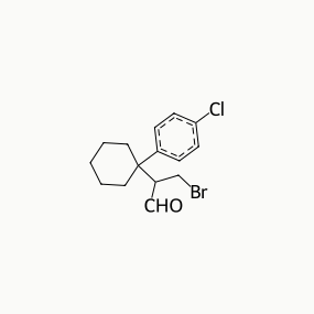 O=CC(CBr)C1(c2ccc(Cl)cc2)CCCCC1